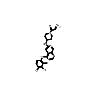 C=CC(=O)N1CCC(Nc2cc3c(Nc4ccc(Cl)c(Cl)c4F)ncnc3cn2)CC1